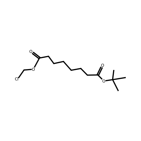 CC(C)(C)OC(=O)CCCCCCC(=O)OCCl